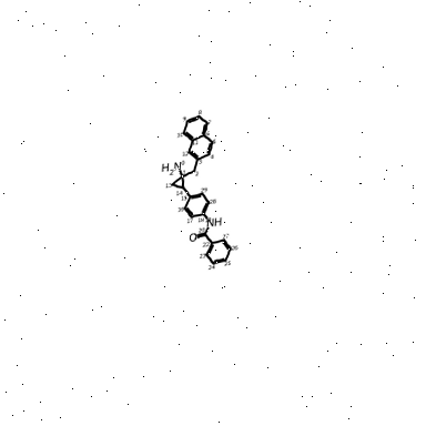 NC1(Cc2ccc3ccccc3c2)CC1c1ccc(NC(=O)c2ccccc2)cc1